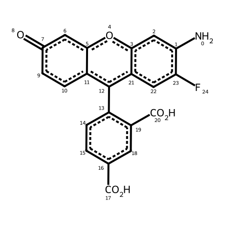 Nc1cc2oc3cc(=O)ccc-3c(-c3ccc(C(=O)O)cc3C(=O)O)c2cc1F